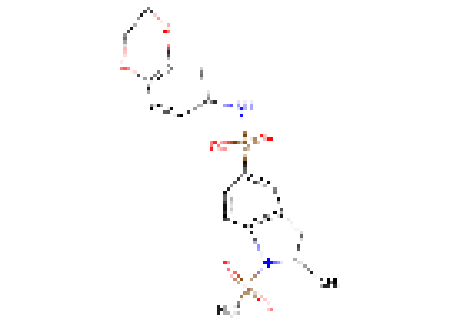 CC1Cc2cc(S(=O)(=O)Nc3ccc4c(c3)OCCO4)ccc2N1S(C)(=O)=O